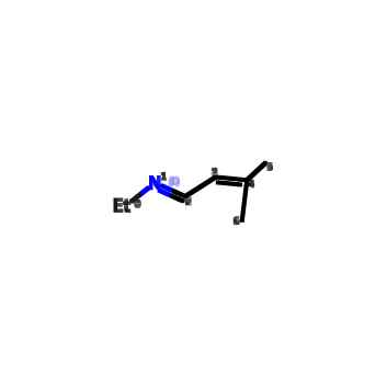 CC/N=[C]/C=C(C)C